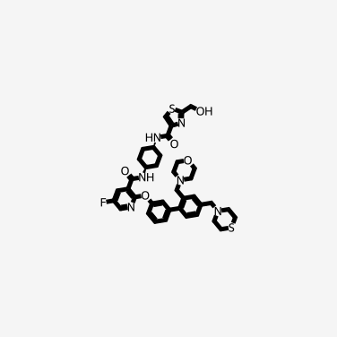 O=C(N[C@H]1CC[C@H](NC(=O)c2cc(F)cnc2Oc2cccc(-c3ccc(CN4CCSCC4)cc3CN3CCOCC3)c2)CC1)c1csc(CO)n1